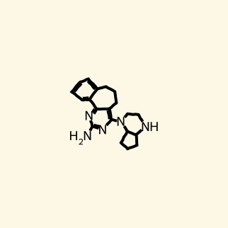 Nc1nc2c(c(N3CCNC4CCCC43)n1)CCCc1ccccc1-2